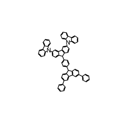 c1ccc(-c2ccc3c(c2)-c2cc(-c4ccccc4)ccc2C3c2ccc(C3c4ccc(-n5c6ccccc6c6ccccc65)cc4-c4cc(-n5c6ccccc6c6ccccc65)ccc43)cc2)cc1